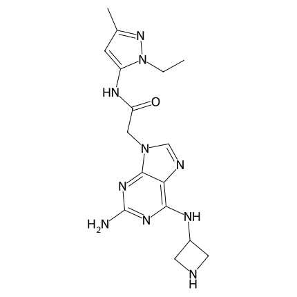 CCn1nc(C)cc1NC(=O)Cn1cnc2c(NC3CNC3)nc(N)nc21